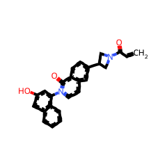 C=CC(=O)N1CC(c2ccc3c(=O)n(-c4cc(O)cc5ccccc45)ccc3c2)C1